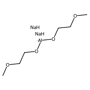 COCC[O][Al][O]CCOC.[NaH].[NaH]